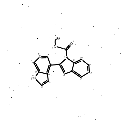 CC(C)(C)OC(=O)n1c(-c2cncc3[nH]ccc23)cc2ccccc21